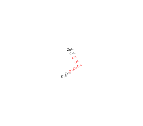 [Cr+3].[Cr+3].[O-2].[O-2].[O-2].[O-2].[O-2].[Zn+2].[Zn+2]